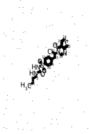 CCCCNC(=O)NS(=O)(=O)c1ccc(CC(Cl)n2cnc3ccccc3c2=O)cc1